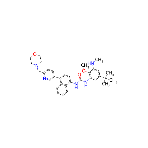 CNc1cc(C(C)(C)C)cc(NC(=O)Nc2ccc(-c3ccc(CN4CCOCC4)nc3)c3ccccc23)c1OC